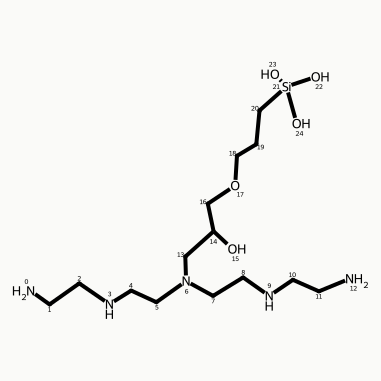 NCCNCCN(CCNCCN)CC(O)COCCC[Si](O)(O)O